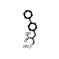 O=C(O)CC(Cc1ccc(-c2ccccc2)cc1)S(=O)O